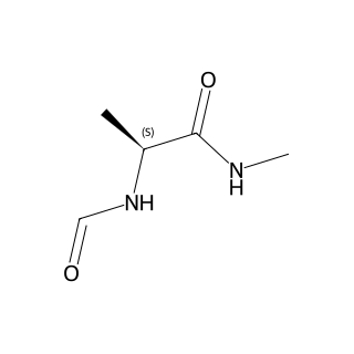 CNC(=O)[C@H](C)NC=O